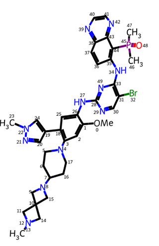 COc1cc(N2CCC(N3CC4(CN(C)C4)C3)CC2)c(-c2cnn(C)c2)cc1Nc1ncc(Br)c(Nc2ccc3nccnc3c2P(C)(C)=O)n1